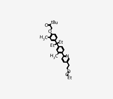 CCOOCCc1ccc(-c2ccc(C(CC)(CC)c3ccc(OCC(=O)C(C)(C)C)c(C)c3)cc2C)nc1